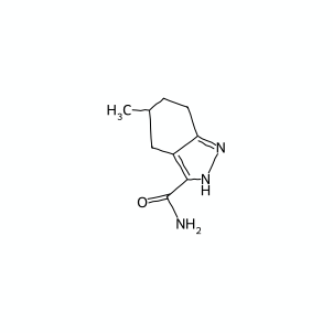 CC1CCc2n[nH]c(C(N)=O)c2C1